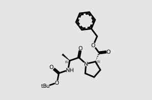 C[C@H](NC(=O)OC(C)(C)C)C(=O)N1CCC[C@H]1C(=O)OCc1ccccc1